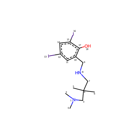 CN(C)CC(C)(C)CNCc1cc(I)cc(I)c1O